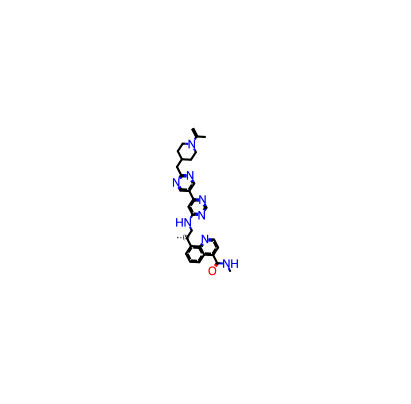 C=C(C)N1CCC(Cc2ncc(-c3cc(NC[C@@H](C)c4cccc5c(C(=O)NC)ccnc45)ncn3)cn2)CC1